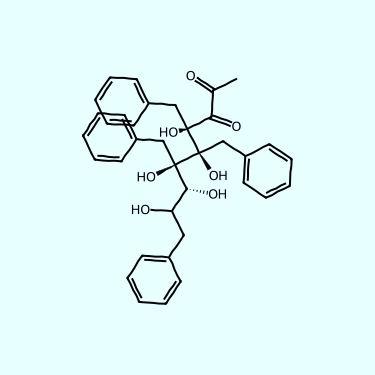 CC(=O)C(=O)[C@@](O)(Cc1ccccc1)[C@](O)(Cc1ccccc1)[C@@](O)(Cc1ccccc1)[C@H](O)C(O)Cc1ccccc1